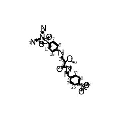 COC(C=Nc1ccc(S(=O)(=O)N(C#N)C#N)cc1)C(=O)N=Nc1ccc([N+](=O)[O-])cc1